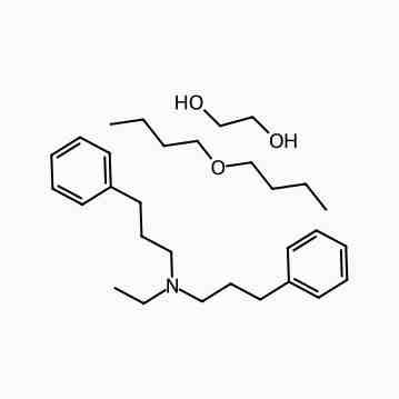 CCCCOCCCC.CCN(CCCc1ccccc1)CCCc1ccccc1.OCCO